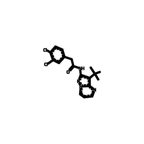 CC(C)(C)c1c(NC(=O)Cc2ccc(Cl)c(Cl)c2)nn2cccnc12